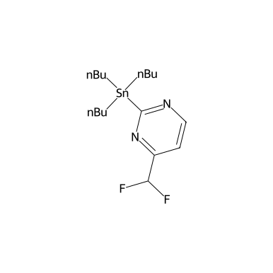 CCC[CH2][Sn]([CH2]CCC)([CH2]CCC)[c]1nccc(C(F)F)n1